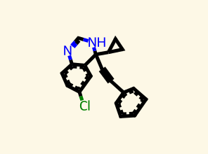 Clc1ccc2c(c1)C(C#Cc1ccccc1)(C1CC1)NC=N2